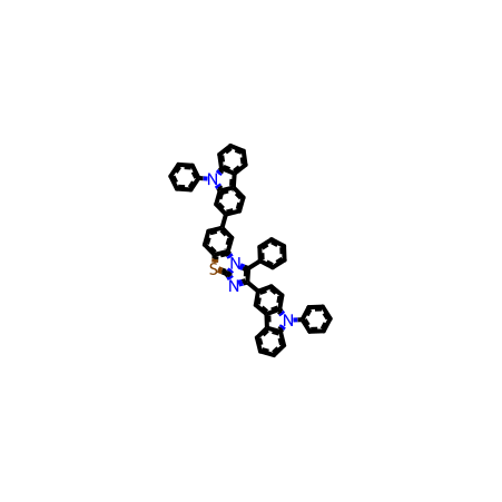 c1ccc(-c2c(-c3ccc4c(c3)c3ccccc3n4-c3ccccc3)nc3sc4ccc(-c5ccc6c7ccccc7n(-c7ccccc7)c6c5)cc4n23)cc1